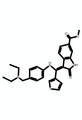 CCN(CC)Cc1ccc(NC(=C2C(=O)Nc3cc(C(=O)OC)ccc32)c2ccsc2)cc1